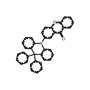 O=c1c2ccccc2oc2ccc(N3c4ccccc4C(c4ccccc4)(c4ccccc4)c4ccccc43)cc12